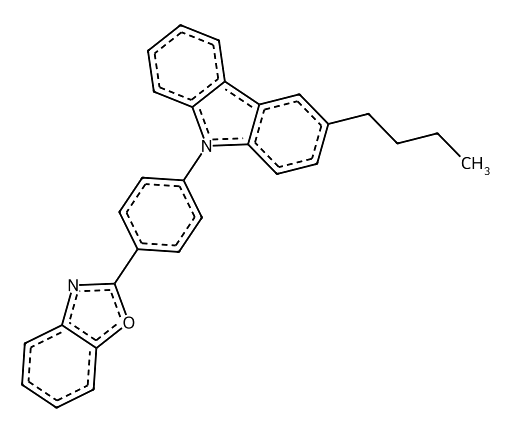 CCCCc1ccc2c(c1)c1ccccc1n2-c1ccc(-c2nc3ccccc3o2)cc1